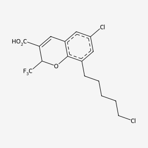 O=C(O)C1=Cc2cc(Cl)cc(CCCCCCl)c2OC1C(F)(F)F